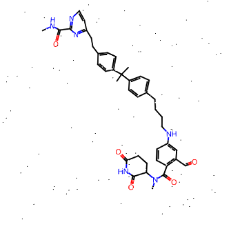 CNC(=O)c1nccc(CCc2ccc(C(C)(C)c3ccc(CCCCNc4ccc(C(=O)N(C)C5CCC(=O)NC5=O)c(C=O)c4)cc3)cc2)n1